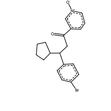 O=C(CC(c1ccc(Br)cc1)C1CCCC1)c1ccc[n+]([O-])c1